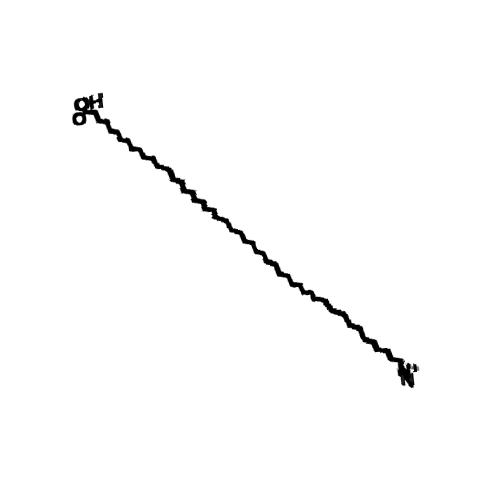 N#[N+]CCCCCCCCCCCCCCCCCCCCCCCCCCCCCCCCCCCCCCCCCCCCCCCCCC(=O)O